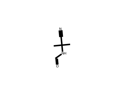 CC(C)(C#N)N[C]=O